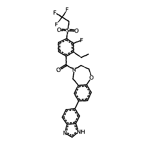 CCc1c(C(=O)N2CCOc3ccc(-c4ccc5nc[nH]c5c4)cc3C2)ccc(S(=O)(=O)CC(F)(F)F)c1F